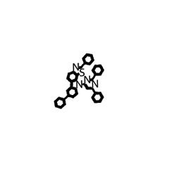 c1ccc(-c2ccc3c(c2)c2ccc4nc(-c5ccccc5)sc4c2n3-c2cc(-c3ccccc3)nc(-c3ccccc3)n2)cc1